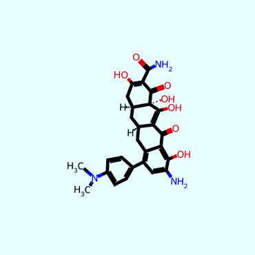 CN(C)c1ccc(-c2cc(N)c(O)c3c2C[C@H]2C[C@H]4CC(O)=C(C(N)=O)C(=O)[C@@]4(O)C(O)=C2C3=O)cc1